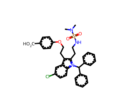 CN(C)S(=O)(=O)NCCc1c(CCOc2ccc(C(=O)O)cc2)c2cc(Cl)ccc2n1C(c1ccccc1)c1ccccc1